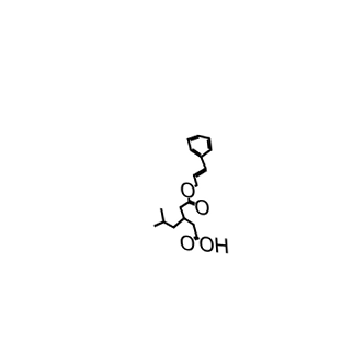 CC(C)CC(CC(=O)O)CC(=O)OC/C=C/c1ccccc1